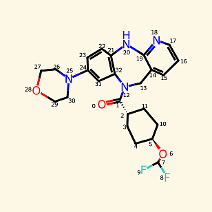 O=C([C@H]1CC[C@H](OC(F)F)CC1)N1Cc2cccnc2Nc2ccc(N3CCOCC3)cc21